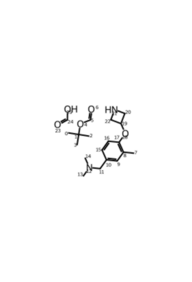 CC(C)(C)OC=O.Cc1cc(CN(C)C)ccc1OC1CNC1.O=CO